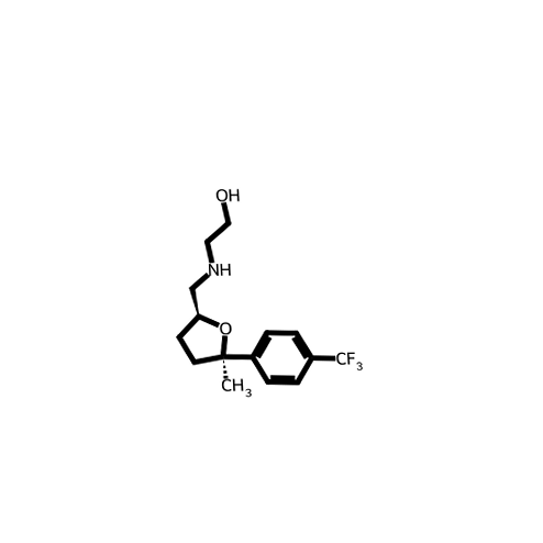 C[C@]1(c2ccc(C(F)(F)F)cc2)CC[C@@H](CNCCO)O1